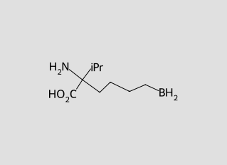 BCCCCC(N)(C(=O)O)C(C)C